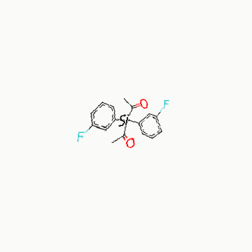 CC(=O)[Si](C(C)=O)(c1cccc(F)c1)c1cccc(F)c1